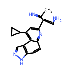 N=C(/C(=C\N)c1cc(C2CC2)c2c(ccc3[nH]ncc32)n1)C(F)(F)F